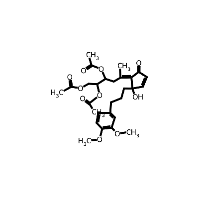 COc1ccc(CCCC2(O)C=CC(=O)C2=C(C)CC(OC(C)=O)C(COC(C)=O)OC(C)=O)cc1OC